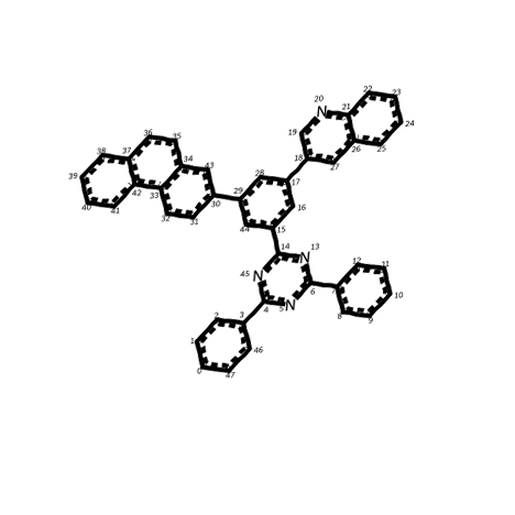 c1ccc(-c2nc(-c3ccccc3)nc(-c3cc(-c4cnc5ccccc5c4)cc(-c4ccc5c(ccc6ccccc65)c4)c3)n2)cc1